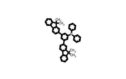 CC1(C)c2ccccc2-c2ccc(-c3cc(-c4ccc5c(c4)C(C)(C)c4ccccc4-5)cc(N(c4ccccc4)c4ccccc4)c3)cc21